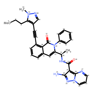 COCCc1c(C#Cc2cccc3cc([C@@H](C)NC(=O)c4c(N)nn5cccnc45)n(-c4ccccc4)c(=O)c23)cnn1C